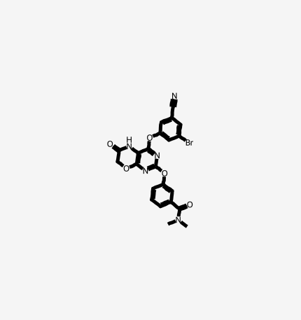 CN(C)C(=O)c1cccc(Oc2nc3c(c(Oc4cc(Br)cc(C#N)c4)n2)NC(=O)CO3)c1